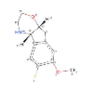 Fc1cc2c(cc1OC(F)(F)F)C[C@H]1OCCN[C@@H]21